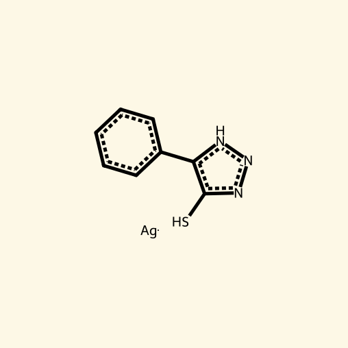 Sc1nn[nH]c1-c1ccccc1.[Ag]